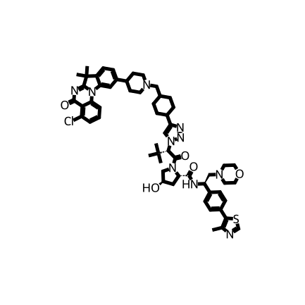 Cc1ncsc1-c1ccc([C@H](CN2CCOCC2)NC(=O)[C@@H]2C[C@@H](O)CN2C(=O)[C@@H](n2cc(C3CCC(CN4CCC(c5ccc6c(c5)-n5c(nc(=O)c7c(Cl)cccc75)C6(C)C)CC4)CC3)nn2)C(C)(C)C)cc1